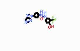 O=C(Nc1ccc(-n2cnc3[c]ncnc32)cc1)Nc1ccc(CO)c(C(F)(F)F)c1